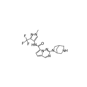 Cn1cc(NC(=O)c2ccc3cnc(N4CC5CNCC4C5)nn23)c(C(F)(F)F)n1